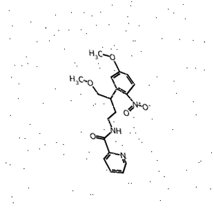 COCC(CCNC(=O)c1ccccn1)c1cc(OC)ccc1[N+](=O)[O-]